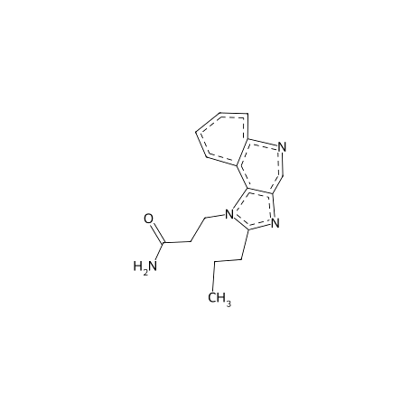 CCCc1nc2cnc3ccccc3c2n1CCC(N)=O